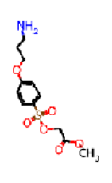 COC(=O)COS(=O)(=O)c1ccc(OCCCN)cc1